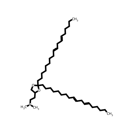 CCCCCC=CCC=CCCCCCCCCC1(CCCCCCCCC=CCC=CCCCCC)OCC(CCN(C)C)O1